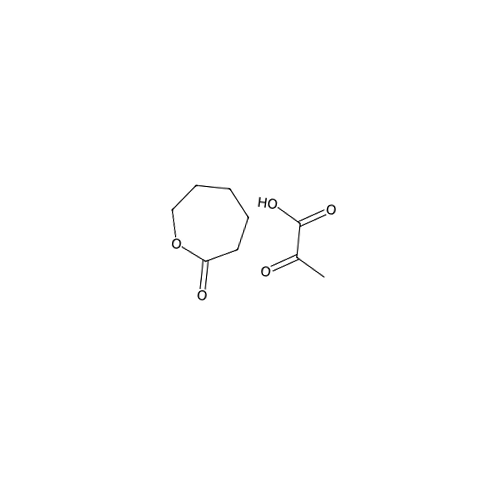 CC(=O)C(=O)O.O=C1CCCCCO1